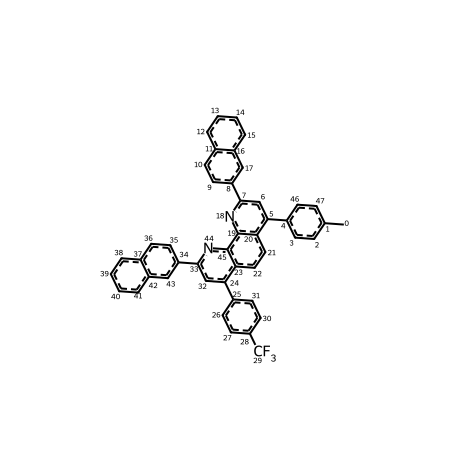 Cc1ccc(-c2cc(-c3ccc4ccccc4c3)nc3c2ccc2c(-c4ccc(C(F)(F)F)cc4)cc(-c4ccc5ccccc5c4)nc23)cc1